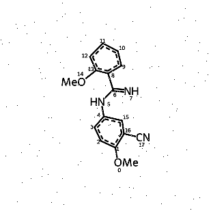 COc1ccc(NC(=N)c2ccccc2OC)cc1C#N